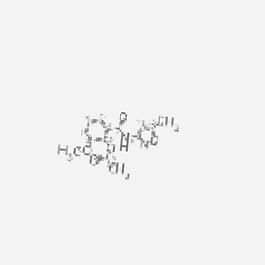 COc1cccc(C(=O)Nc2cc(C)on2)c1OC(C)=O